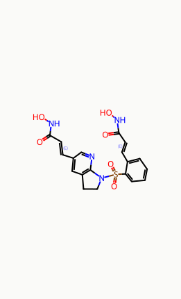 O=C(/C=C/c1cnc2c(c1)CCN2S(=O)(=O)c1ccccc1/C=C/C(=O)NO)NO